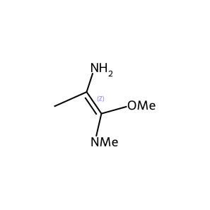 CN/C(OC)=C(\C)N